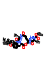 CC(C)[C@@H]1NC(=O)/C=C/[C@@H](NC(=O)[C@@H](NC(=O)OC(C)(C)C)C(C)C)COC(=O)[C@H](Cc2ccc(O[Si](C)(C)C(C)(C)C)cc2)NC1=O